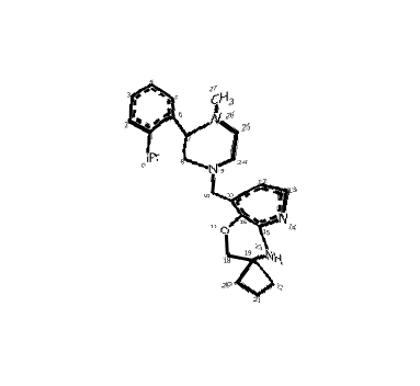 CC(C)c1ccccc1C1CN(Cc2ccnc3c2OCC2(CCC2)N3)CCN1C